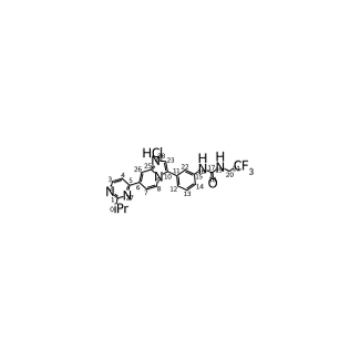 CC(C)c1nccc(-c2ccn3c(-c4cccc(NC(=O)NCC(F)(F)F)c4)cnc3c2)n1.Cl